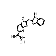 N=C(NO)c1ccc2[nH]c(Cc3nc4ccccc4[nH]3)nc2n1